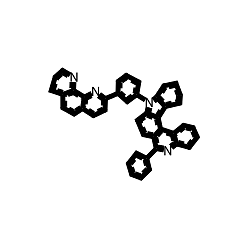 c1ccc(-c2nc3ccccc3c3c2ccc2c3c3ccccc3n2-c2cccc(-c3ccc4ccc5cccnc5c4n3)c2)cc1